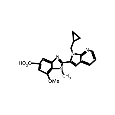 COc1cc(C(=O)O)cc2nc(-c3cc4cccnc4n3CC3CC3)n(C)c12